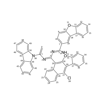 C=C(/N=C(\N=C(/N)c1ccc2oc3ccccc3c2c1)c1c2ccccc2c(Cl)c2c1oc1ccccc12)n1c2ccccc2c2ccccc21